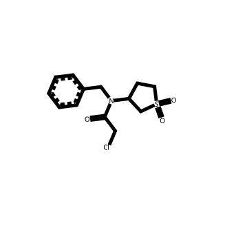 O=C(CCl)N(Cc1ccccc1)C1CCS(=O)(=O)C1